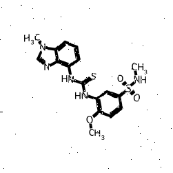 CNS(=O)(=O)c1ccc(OC)c(NC(=S)Nc2cccc3c2ncn3C)c1